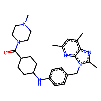 Cc1cc(C)c2nc(C)n(Cc3ccc(NC4CCC(C(=O)N5CCN(C)CC5)CC4)cc3)c2n1